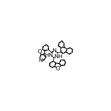 c1ccc2c(c1)cc(C1N=C(c3cccc4oc5cnccc5c34)NC(c3cccc4oc5ccccc5c34)N1)c1ccccc12